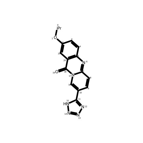 CC(C)Oc1ccc2nc3ccc(-c4nnn[nH]4)cn3c(=O)c2c1